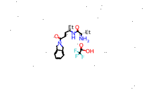 CC[C@@H](C=CC(=O)N1Cc2ccccc2C1)NC(=O)[C@@H](N)CC.O=C(O)C(F)(F)F